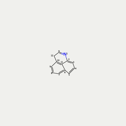 C1=Nc2cccc3cccc(c23)C1